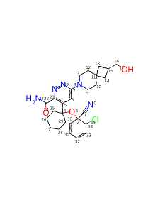 N#C[C@]1(OC2(c3cc(N4CCC5(CC4)CC(CO)C5)nnc3C(N)=O)CCCCC2)C=CC=CC1Cl